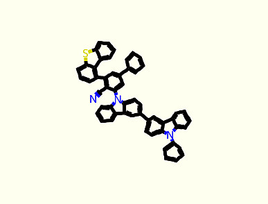 N#Cc1c(-c2cccc3sc4ccccc4c23)cc(-c2ccccc2)cc1-n1c2ccccc2c2cc(-c3ccc4c(c3)c3ccccc3n4-c3ccccc3)ccc21